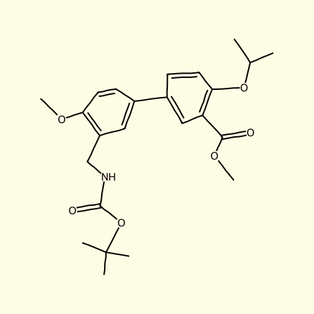 COC(=O)c1cc(-c2ccc(OC)c(CNC(=O)OC(C)(C)C)c2)ccc1OC(C)C